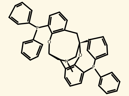 CN1CC2Cc3cccc(P(c4ccccc4)c4ccccc4)c3O[C@@H](Cc3cccc(P(c4ccccc4)c4ccccc4)c3O2)C1